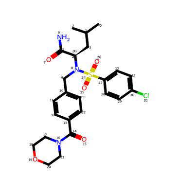 CC(C)C[C@H](C(N)=O)N(Cc1ccc(C(=O)N2CCOCC2)cc1)S(=O)(=O)c1ccc(Cl)cc1